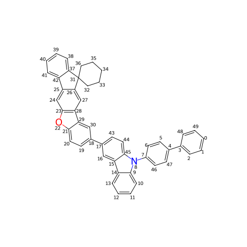 c1ccc(-c2ccc(-n3c4ccccc4c4cc(-c5ccc6oc7cc8c(cc7c6c5)C5(CCCCC5)c5ccccc5-8)ccc43)cc2)cc1